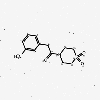 Cc1cccc(CC(=O)N2CCS(=O)(=O)CC2)c1